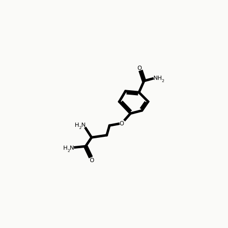 NC(=O)c1ccc(OCCC(N)C(N)=O)cc1